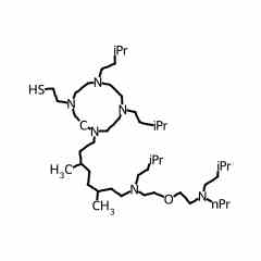 CCCN(CCOCCN(CCC(C)C)CCC(C)CCC(C)CCN1CCN(CCS)CCN(CCC(C)C)CCN(CCC(C)C)CC1)CCC(C)C